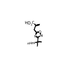 C=C(Cc1nc(C(C)(C)CCCCCC)no1)C(=O)O